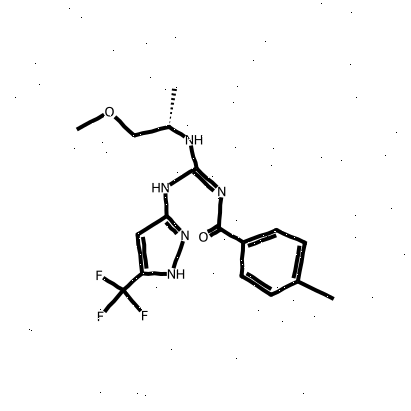 COC[C@H](C)N/C(=N/C(=O)c1ccc(C)cc1)Nc1cc(C(F)(F)F)[nH]n1